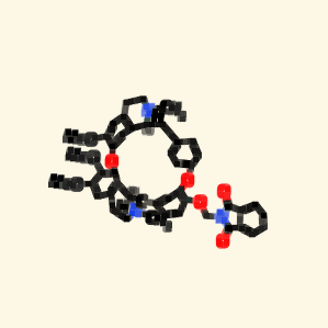 COc1cc2c3cc1Oc1c(OC)c(OC)cc4c1[C@@H](Cc1ccc(OCN5C(=O)c6ccccc6C5=O)c(c1)Oc1ccc(cc1)C[C@@H]3N(C)CC2)N(C)CC4